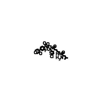 CC(C)C[C@H](N)C(=O)NCCCCC(=O)N(C[C@H]1CN(c2ccc(N3CCOCC3=O)cc2F)C(=O)O1)C(=O)c1ccc(Cl)s1